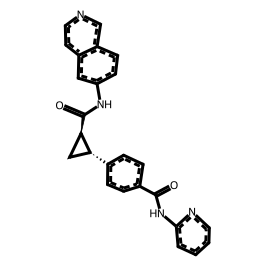 O=C(Nc1ccccn1)c1ccc([C@@H]2C[C@H]2C(=O)Nc2ccc3cnccc3c2)cc1